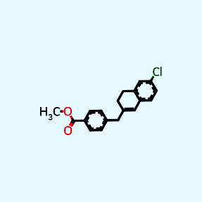 COC(=O)c1ccc(CC2=Cc3ccc(Cl)cc3CC2)cc1